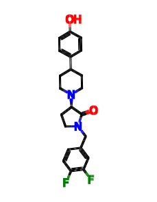 O=C1[C@H](N2CCC(c3ccc(O)cc3)CC2)CCN1Cc1ccc(F)c(F)c1